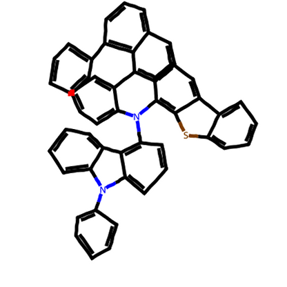 c1ccc(-c2cccc3cccc(-c4ccccc4N(c4cccc5c4sc4ccccc45)c4cccc5c4c4ccccc4n5-c4ccccc4)c23)cc1